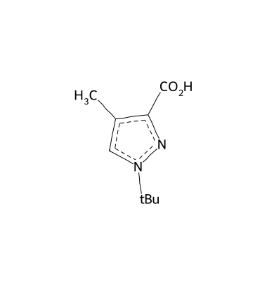 Cc1cn(C(C)(C)C)nc1C(=O)O